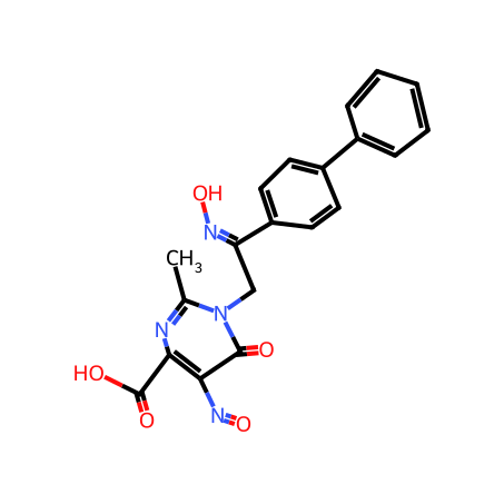 Cc1nc(C(=O)O)c(N=O)c(=O)n1C/C(=N/O)c1ccc(-c2ccccc2)cc1